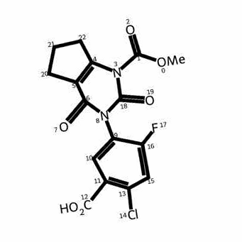 COC(=O)n1c2c(c(=O)n(-c3cc(C(=O)O)c(Cl)cc3F)c1=O)CCC2